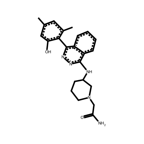 Cc1cc(C)c(-c2nnc(NC3CCCN(CC(N)=O)C3)c3ccccc23)c(O)c1